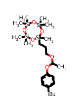 CCC(C)c1ccc(OC(C)OCCC[Si]2(C)O[Si](C)(C)O[Si](C)(C)O[Si](C)(C)O2)cc1